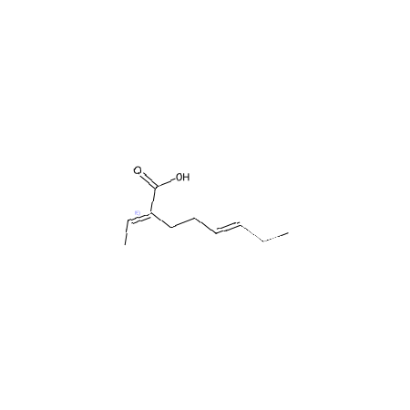 C/C=C(\CCC=CCC)C(=O)O